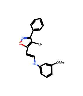 CSc1cccc(N/C=C/c2onc(-c3ccccc3)c2C#N)c1